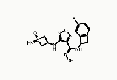 N=S1(=O)CC(Nc2nonc2/C(=N/O)NC2Cc3ccc(F)cc32)C1